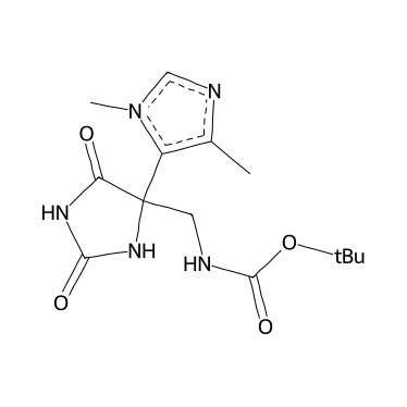 Cc1ncn(C)c1C1(CNC(=O)OC(C)(C)C)NC(=O)NC1=O